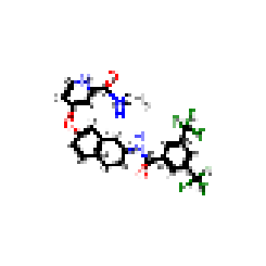 CNC(=O)c1cc(Oc2ccc3c(c2)CC(NC(=O)c2cc(C(F)(F)F)cc(C(F)(F)F)c2)CC3)ccn1